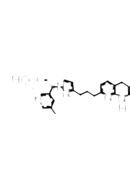 Cc1cncc([C@H](CC(=O)O)n2ccc(CCCc3ccc4c(n3)NCCC4)n2)c1